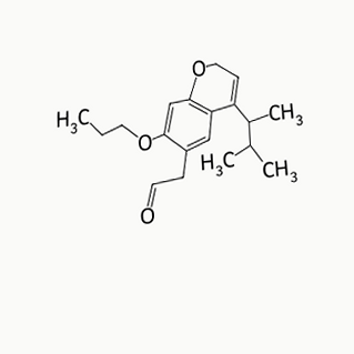 CCCOc1cc2c(cc1CC=O)C(C(C)C(C)C)=CCO2